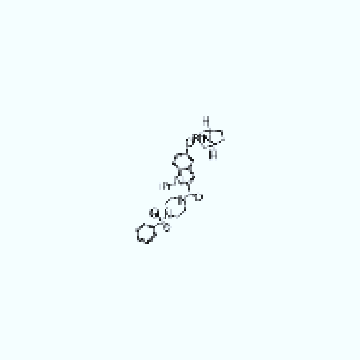 CC(C)N1[C@@H]2CC[C@H]1C[C@@H](Oc1ccc3c(c1)cc(C(=O)N1CCN(S(=O)(=O)c4ccccc4)CC1)n3C(C)C)C2